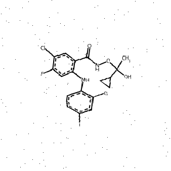 CC(O)(ONC(=O)c1cc(Cl)c(F)cc1Nc1ccc(I)cc1Cl)C1CC1